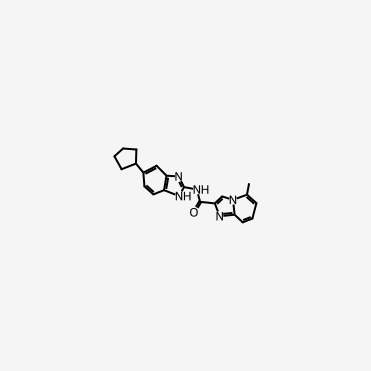 Cc1cccc2nc(C(=O)Nc3nc4cc(C5CCCC5)ccc4[nH]3)cn12